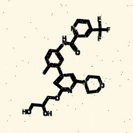 Cc1ccc(NC(=O)c2cc(C(F)(F)F)ccn2)cc1-c1cc(OCC(O)CO)nc(N2CCOCC2)c1